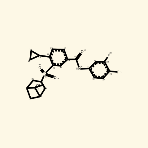 CC1(O)C2CC1CC(S(=O)(=O)c1cc(C(=O)Nc3ccc(F)c(F)c3)ccc1C1CC1)C2